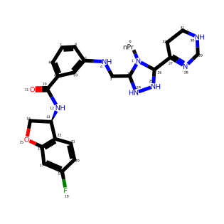 CCCN1C(CNc2cccc(C(=O)N[C@@H]3COc4cc(F)ccc43)c2)NNC1C1=NCNCC1